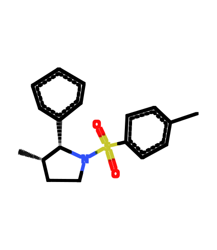 Cc1ccc(S(=O)(=O)N2CC[C@H](C)[C@@H]2c2ccccc2)cc1